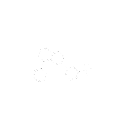 C[N+](C)(c1cncc(-c2ccc3nccc(-c4ccncc4)c3c2)c1)S(=O)(=O)O